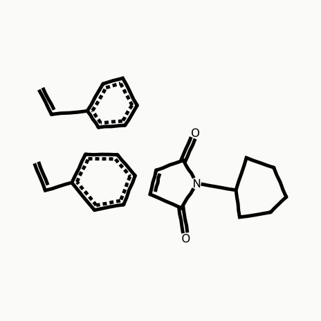 C=Cc1ccccc1.C=Cc1ccccc1.O=C1C=CC(=O)N1C1CCCCC1